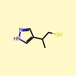 CC(CS)c1cn[nH]c1